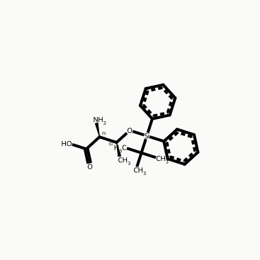 C[C@H](O[Si](c1ccccc1)(c1ccccc1)C(C)(C)C)[C@H](N)C(=O)O